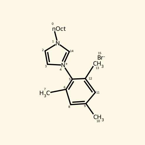 CCCCCCCCn1cc[n+](-c2c(C)cc(C)cc2C)c1.[Br-]